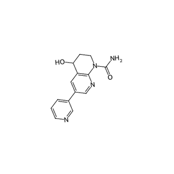 NC(=O)N1CCC(O)c2cc(-c3cccnc3)cnc21